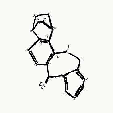 CCC1c2ccccc2CSc2c1ccc1c2C2CCC1CC2